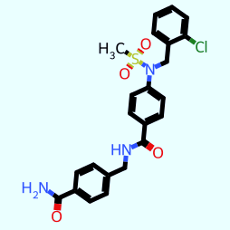 CS(=O)(=O)N(Cc1ccccc1Cl)c1ccc(C(=O)NCc2ccc(C(N)=O)cc2)cc1